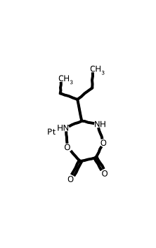 CCC(CC)C1NOC(=O)C(=O)ON1.[Pt]